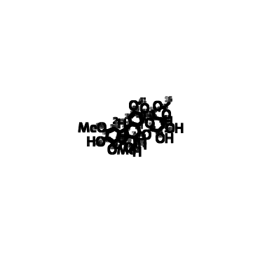 [2H]C1([2H])OC(=O)[C@H]2[C@H]1[C@H](O[C@@H]1O[C@@H]3CO[C@@H](C)O[C@H]3[C@H](O)[C@H]1O)c1cc3c(cc1[C@@]2([2H])c1cc(OC)c(O)c(OC)c1)OCO3